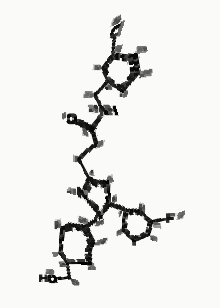 O=C(CCc1cc(-c2cccc(F)c2)n(-c2ccc(CO)cc2)n1)NCc1cccc(Cl)c1